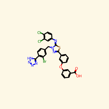 O=C(O)c1cccc(Oc2cccc(-c3nn(Cc4ccc(-c5nnn[nH]5)c(Br)c4)/c(=N\c4ccc(Cl)c(Cl)c4)s3)c2)c1